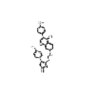 O=c1c(-c2ccc(O)cc2)coc2cc(OCCc3n[nH]cc3-c3ccc(Cl)cc3)ccc12